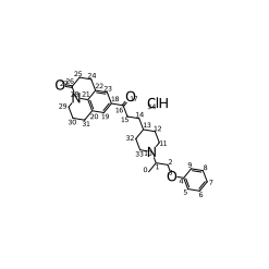 CC(COc1ccccc1)N1CCC(CCC(=O)c2cc3c4c(c2)CCC(=O)N4CCC3)CC1.Cl